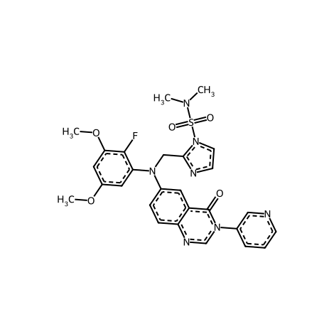 COc1cc(OC)c(F)c(N(Cc2nccn2S(=O)(=O)N(C)C)c2ccc3ncn(-c4cccnc4)c(=O)c3c2)c1